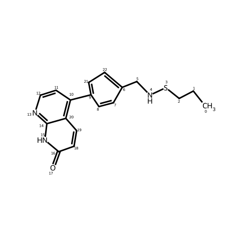 CCCSNCc1ccc(-c2ccnc3[nH]c(=O)ccc23)cc1